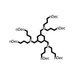 CCCCCCCCCCCCCN(CCCCCCCCCCCCC)CC1CC(CN(CCCCCCCCCCCCC)CCCCCCCCCCCCC)CC(CN(CCCCCCCCCCCCC)CCCCCCCCCCCCC)C1